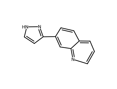 c1cnc2cc(-c3cc[nH]n3)ccc2c1